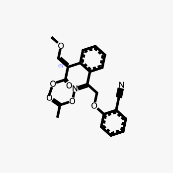 CO/C=C(/C(=O)OC)c1ccccc1C(COc1ccccc1C#N)=NOC(C)=O